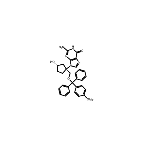 COc1ccc(C(OC[C@@]2(n3cnc4c(=O)[nH]c(N)nc43)CC[C@H](O)C2)(c2ccccc2)c2ccccc2)cc1